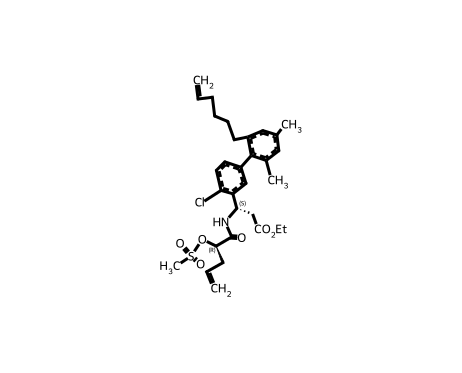 C=CCCCCc1cc(C)cc(C)c1-c1ccc(Cl)c([C@H](CC(=O)OCC)NC(=O)[C@@H](CC=C)OS(C)(=O)=O)c1